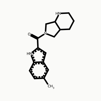 Cc1ccc2[nH]c(C(=O)N3CC4CCCNC4C3)cc2c1